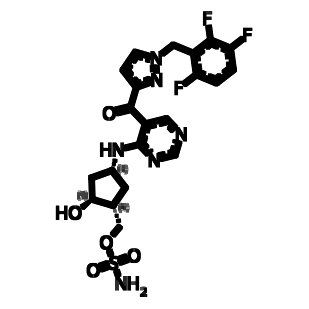 NS(=O)(=O)OC[C@H]1C[C@@H](Nc2ncncc2C(=O)c2ccn(Cc3c(F)ccc(F)c3F)n2)C[C@@H]1O